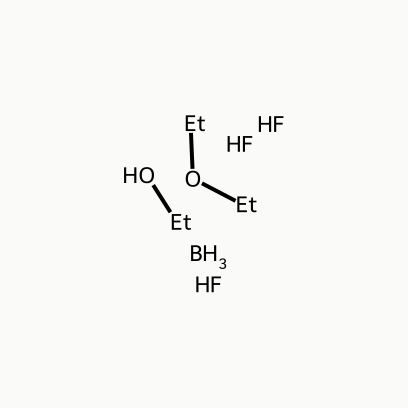 B.CCO.CCOCC.F.F.F